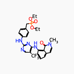 CCOP(=O)(Cc1ccc(Nc2ncc(C(F)(F)F)c(Nc3cccc4ccn(C)c(=O)c34)n2)cc1)OCC